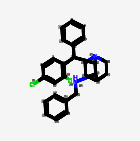 Clc1ccc(C(c2ccccc2)C2C(NCc3ccccc3)C3CCN2CC3)c(Cl)c1